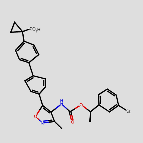 CCc1cccc([C@@H](C)OC(=O)Nc2c(C)noc2-c2ccc(-c3ccc(C4(C(=O)O)CC4)cc3)cc2)c1